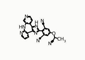 CC(C#N)Oc1cc(C#N)c(-c2nc3c([nH]2)-c2ccncc2Nc2ncccc2-3)c(C#N)c1